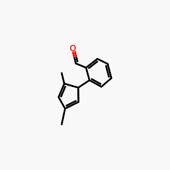 CC1=CC(c2ccccc2C=O)C(C)=C1